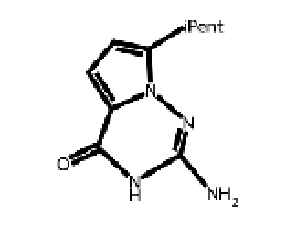 CCCC(C)c1ccc2c(=O)[nH]c(N)nn12